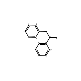 CC(Cc1ccccc1)c1cc[c]cc1